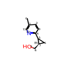 Cc1ccc(C2C[C@H]2CO)nc1